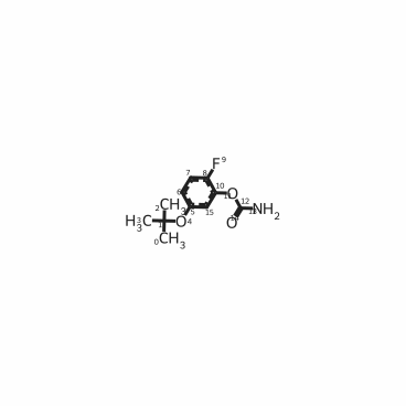 CC(C)(C)Oc1ccc(F)c(OC(N)=O)c1